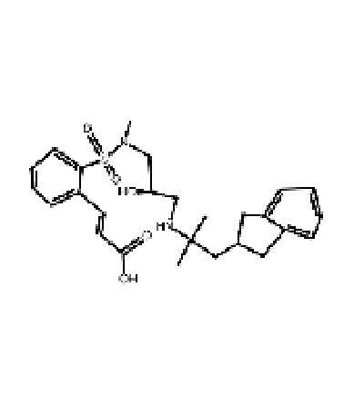 CN(C[C@H](O)CNC(C)(C)CC1Cc2ccccc2C1)S(=O)(=O)c1ccccc1/C=C/C(=O)O